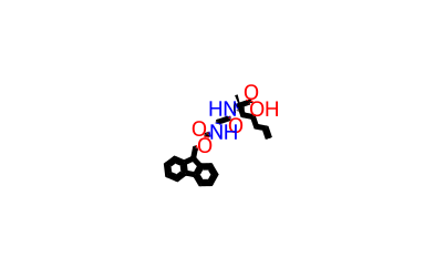 C=CCCC[C@](C)(NC(=O)CNC(=O)OCC1c2ccccc2-c2ccccc21)C(=O)O